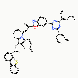 C=C/C=C\c1c(C)c(/C=C(\C)c2cccc3c2sc2ccccc23)c(C)n1C(/C=C\C)=C/C(=C)c1nc2ccc(-c3nc(/C(C=C)=C/C=C\C)nc(C(/C=C\C)=C/C=C)n3)cc2o1